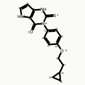 O=c1c2[nH]ccc2[nH]c(=S)n1-c1ccc(OCCC2CC2)cc1